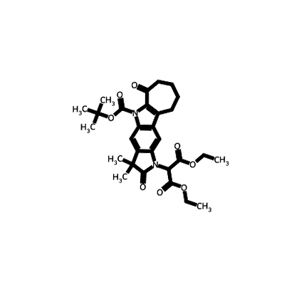 CCOC(=O)C(C(=O)OCC)N1C(=O)C(C)(C)c2cc3c(cc21)c1c(n3C(=O)OC(C)(C)C)C(=O)CCCC1